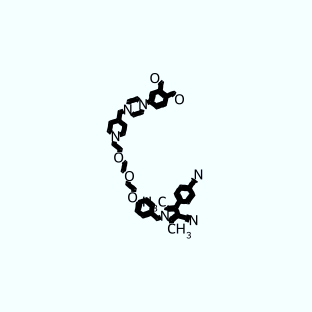 Cc1c(C#N)c(-c2ccc(C#N)cc2)c(C)n1Cc1ccc(OCCOCCOCCN2CCC(CN3CCN(c4ccc(C=O)c(C=O)c4)CC3)CC2)cc1